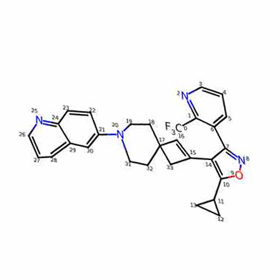 FC(F)(F)c1ncccc1-c1noc(C2CC2)c1C1=CC2(CCN(c3ccc4ncccc4c3)CC2)C1